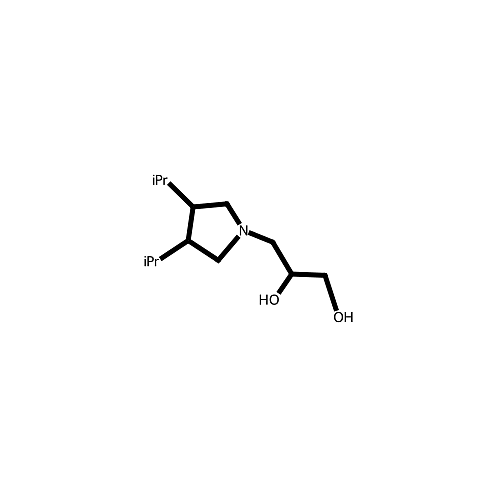 CC(C)C1CN(CC(O)CO)CC1C(C)C